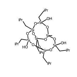 CC(C)C[Si]1(O)O[Si]2(C)O[Si](O)(CC(C)C)O[Si]3(CC(C)C)O[Si](O)(CC(C)C)O[Si](CC(C)C)(O1)O[Si](CC(C)C)(O2)O3